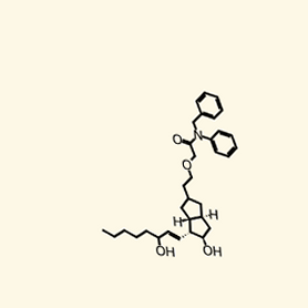 CCCCCC(O)C=C[C@@H]1[C@@H]2CC(CCOCC(=O)N(Cc3ccccc3)c3ccccc3)C[C@H]2C[C@H]1O